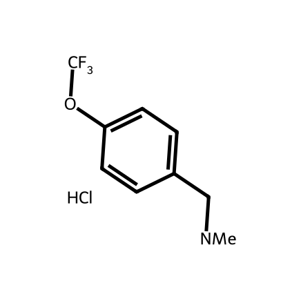 CNCc1ccc(OC(F)(F)F)cc1.Cl